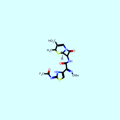 CON=C(C(=O)NC1C(=O)N2C=C(C(=O)O)C(C)S[C@H]12)c1csc(=NC(=O)C(F)(F)F)[nH]1